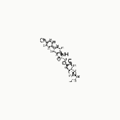 O=C(COc1ccc(CN2CCCC2)cc1Cl)Nc1ccc(-c2ccc(Cl)cc2)cc1